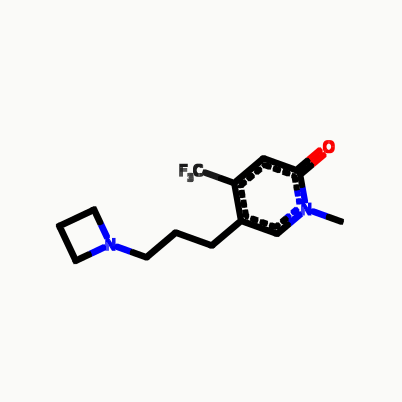 Cn1cc(CCCN2CCC2)c(C(F)(F)F)cc1=O